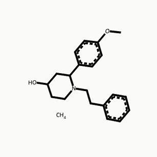 C.COc1ccc(C2CC(O)CCN2CCc2ccccc2)cc1